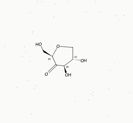 O=C1[C@@H](CO)OC[C@H](O)[C@H]1O